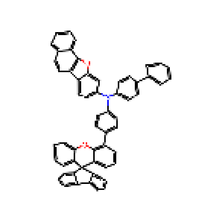 c1ccc(-c2ccc(N(c3ccc(-c4cccc5c4Oc4ccccc4C54c5ccccc5-c5ccccc54)cc3)c3ccc4c(c3)oc3c5ccccc5ccc43)cc2)cc1